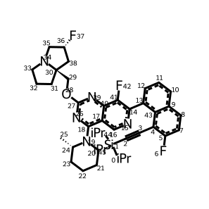 CC(C)[Si](C#Cc1c(F)ccc2cccc(-c3ncc4c(N5CCCC[C@@H]5C)nc(OC[C@@]56CCCN5C[C@H](F)C6)nc4c3F)c12)(C(C)C)C(C)C